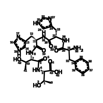 C[C@@H](O)[C@H](NC(=O)[C@@H](NC(=O)[C@H](Cc1c[nH]cn1)NC(=O)[C@H](Cc1c[nH]cn1)NC(=O)[C@@H](N)Cc1ccccc1)[C@@H](C)O)C(=O)O